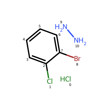 Cl.Clc1ccccc1Br.NN